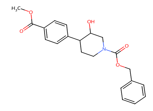 COC(=O)c1ccc(C2CCN(C(=O)OCc3ccccc3)CC2O)cc1